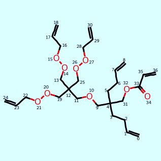 C=CCCC(CCC=C)(COCC(COOCC=C)(COOCC=C)COOCC=C)COC(=O)C=C